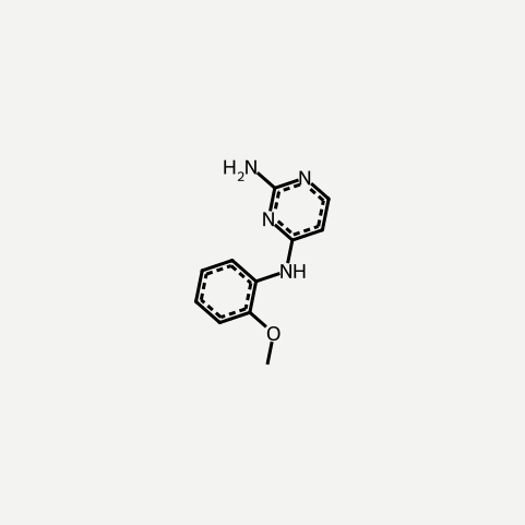 COc1ccccc1Nc1ccnc(N)n1